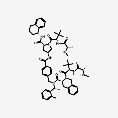 CN[C@@H](C)C(=O)NC(C(=O)N1Cc2ccccc2C[C@H]1C(=O)N(Cc1ccc(C(=O)N[C@H]2C[C@@H](C(=O)N[C@@H]3CCCc4ccccc43)N(C(=O)[C@@H](NC(=O)[C@H](C)NC)C(C)(C)C)C2)cc1)[C@H](C)c1ccccc1C)C(C)(C)C